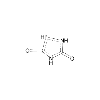 O=c1[nH][pH]c(=O)[nH]1